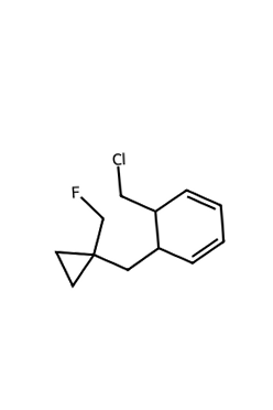 FCC1(CC2C=CC=CC2CCl)CC1